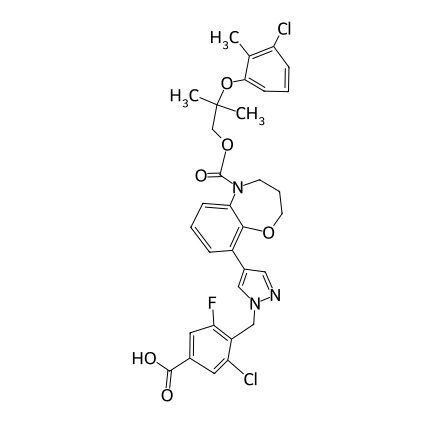 Cc1c(Cl)cccc1OC(C)(C)COC(=O)N1CCCOc2c(-c3cnn(Cc4c(F)cc(C(=O)O)cc4Cl)c3)cccc21